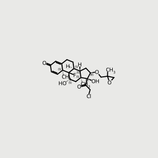 CC1(CO[C@@H]2C[C@H]3[C@@H]4CCC5=CC(=O)C=C[C@]5(C)C4(F)[C@@H](O)C[C@]3(C)[C@@]2(O)C(=O)CCl)CO1